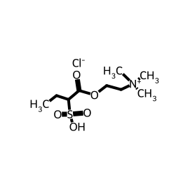 CCC(C(=O)OCC[N+](C)(C)C)S(=O)(=O)O.[Cl-]